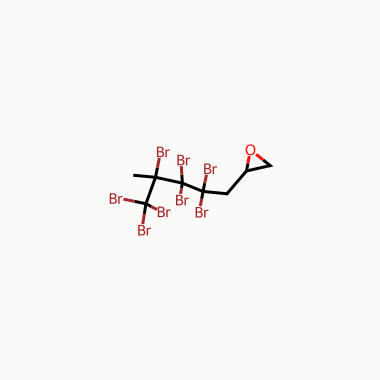 CC(Br)(C(Br)(Br)Br)C(Br)(Br)C(Br)(Br)CC1CO1